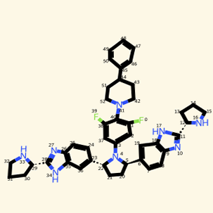 Fc1cc(N2[C@@H](c3ccc4nc([C@@H]5CCCN5)[nH]c4c3)CC[C@@H]2c2ccc3nc([C@@H]4CCCN4)[nH]c3c2)cc(F)c1N1CCC(c2ccccc2)CC1